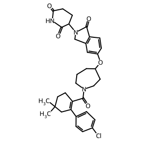 CC1(C)CCC(C(=O)N2CCCC(Oc3ccc4c(c3)CN(C3CCC(=O)NC3=O)C4=O)CC2)=C(c2ccc(Cl)cc2)C1